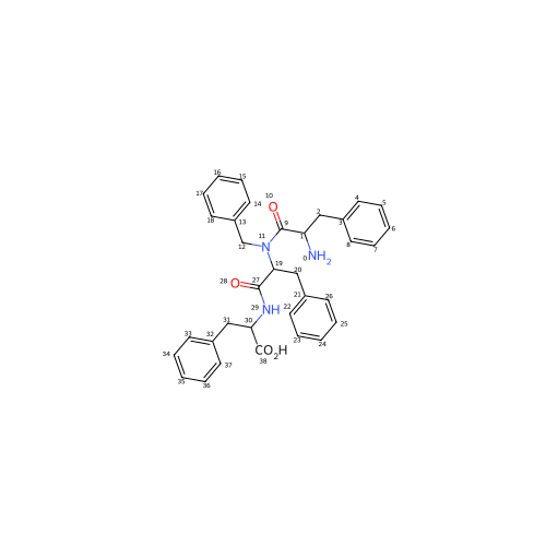 NC(Cc1ccccc1)C(=O)N(Cc1ccccc1)C(Cc1ccccc1)C(=O)NC(Cc1ccccc1)C(=O)O